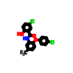 O=C(Nc1cc(C(F)(F)F)ccc1Oc1ccc(Cl)cc1)c1cc(Cl)ccc1O